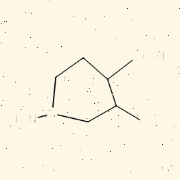 CC1CN(N)CCC1C(=O)O